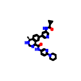 C[C@H]1NCN=C(C(=O)Nc2ccc(N3CCCCC3)nc2)c2cc(-c3cncc(NC(=O)C4CC4)c3)ccc21